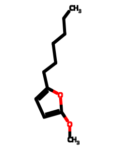 CCCCCCc1ccc(OC)o1